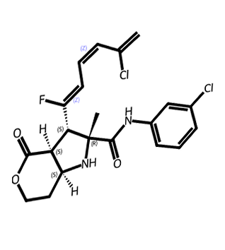 C=C(Cl)/C=C\C=C(/F)[C@H]1[C@@H]2C(=O)OCC[C@@H]2N[C@@]1(C)C(=O)Nc1cccc(Cl)c1